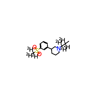 [2H]C([2H])(C)C([2H])([2H])N1CCCC(c2cccc(S(=O)(=O)C([2H])([2H])[2H])c2)C1